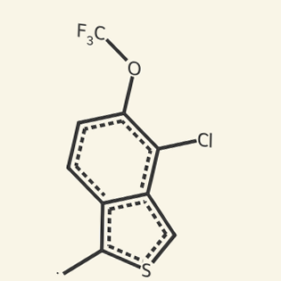 [CH2]c1scc2c(Cl)c(OC(F)(F)F)ccc12